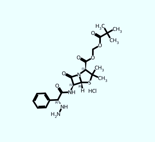 CC(C)(C)C(=O)OCOC(=O)[C@@H]1N2C(=O)[C@H](NC(=O)[C@H](NN)c3ccccc3)[C@H]2SC1(C)C.Cl